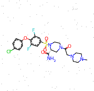 CN1CCN(CC(=O)N2CCN(S(=O)(=O)c3cc(F)c(Oc4ccc(Cl)cc4)c(F)c3)[C@@H](C(N)=O)C2)CC1